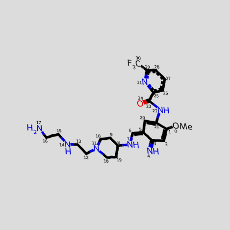 COC1=CC(=N)/C(=C\NC2CCN(CCNCCN)CC2)C=C1NC(=O)c1cccc(C(F)(F)F)n1